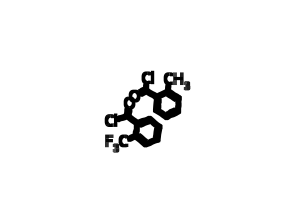 Cc1ccccc1C(=O)Cl.O=C(Cl)c1ccccc1C(F)(F)F